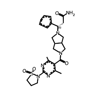 Cc1nc(N2CCCS2(=O)=O)nc(C)c1C(=O)N1CC2CN([C@@H](CC(N)=O)c3ccccc3)CC2C1